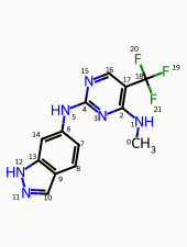 CNc1nc(Nc2ccc3cn[nH]c3c2)ncc1C(F)(F)F